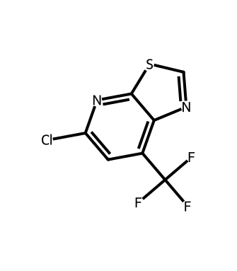 FC(F)(F)c1cc(Cl)nc2scnc12